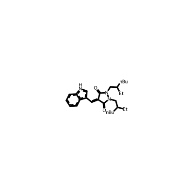 CCCCC(CC)CN1C(=O)C(=Cc2c[nH]c3ccccc23)C(=O)N1CC(CC)CCCC